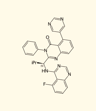 CC(C)[C@H](Nc1ncnc2cccc(F)c12)c1nc2cccc(-c3cncnc3)c2c(=O)n1-c1ccccc1